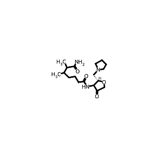 CC(CC[CH]C(=O)NC1C(=O)CO[C@H]1CN1CCCC1)C(C)C(N)=O